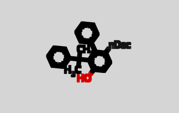 CCCCCCCCCCc1ccc(O)c(C(C)(C)c2ccccc2)c1-c1ccccc1